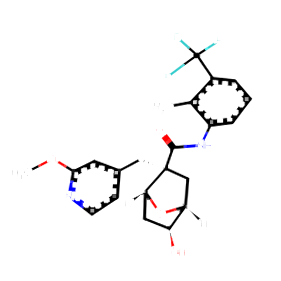 COc1cc(C[C@]2(C(=O)Nc3cccc(C(F)(F)F)c3C)C[C@H]3O[C@@H]2C[C@@H]3O)ccn1